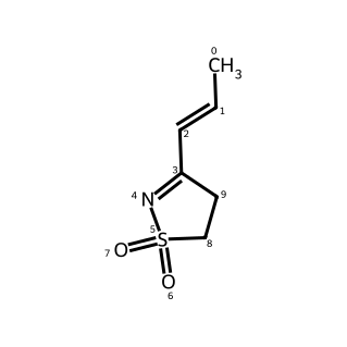 CC=CC1=NS(=O)(=O)CC1